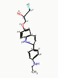 CCNc1ccc(C2C=Cc3cc(OCC(O)CF)ccc3N2)cc1